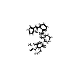 C=CCC(C(N)=O)C(CC(C)C)C(=O)NC1CCCCn2c(-c3ccccc3-c3cc4ccccc4o3)nnc21